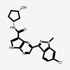 Cn1nc(-c2cnc3[nH]cc(C(=O)N[C@@H]4CC[C@H](O)C4)c3n2)c2ccc(Cl)cc21